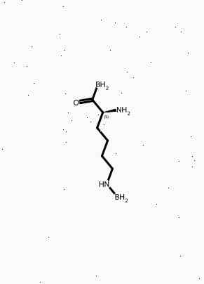 BNCCCC[C@H](N)C(B)=O